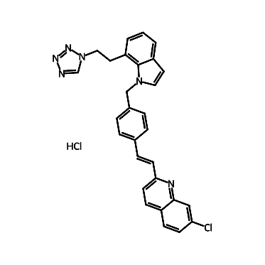 Cl.Clc1ccc2ccc(/C=C/c3ccc(Cn4ccc5cccc(CCn6cnnn6)c54)cc3)nc2c1